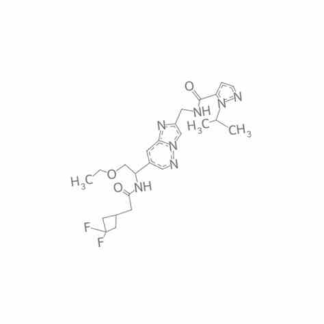 CCOCC(NC(=O)CC1CC(F)(F)C1)c1cnn2cc(CNC(=O)c3ccnn3C(C)C)nc2c1